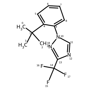 CC(C)(C)c1ccccc1-n1cnc(C(F)(F)F)n1